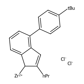 CCCC1=Cc2c(-c3ccc(C(C)(C)C)cc3)cccc2[CH]1[Zr+2].[Cl-].[Cl-]